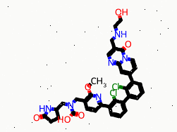 COc1nc(-c2cccc(-c3cccc(-c4ccn5c(=O)c(CNCCO)cnc5c4)c3Cl)c2Cl)ccc1CN(CC1CCC(=O)N1)C(=O)O